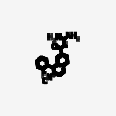 [C-]#[N+]c1ccc2ccc(C(=O)N=C(N)N)cc2c1-c1ccccc1F